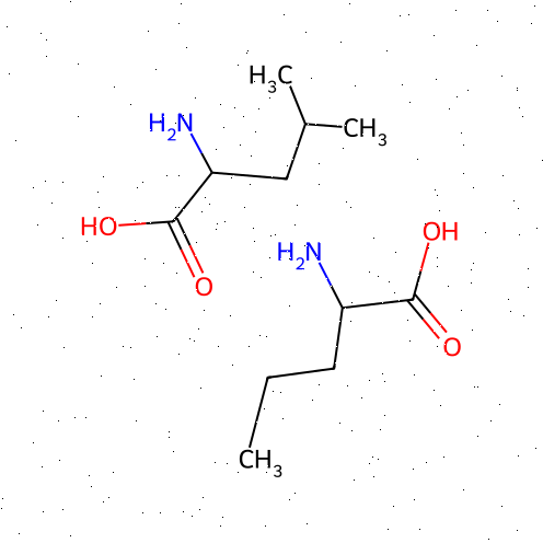 CC(C)CC(N)C(=O)O.CCCC(N)C(=O)O